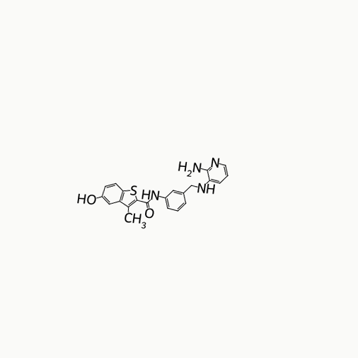 Cc1c(C(=O)Nc2cccc(CNc3cccnc3N)c2)sc2ccc(O)cc12